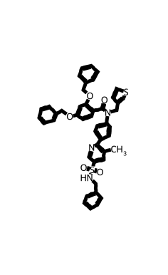 Cc1cc(S(=O)(=O)NCc2ccccc2)cnc1-c1ccc(N(Cc2ccsc2)C(=O)c2ccc(OCc3ccccc3)cc2OCc2ccccc2)cc1